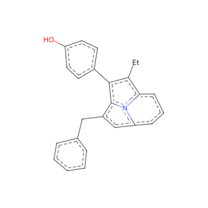 CCc1c(-c2ccc(O)cc2)c2c(Cc3ccccc3)cc3cccc1n32